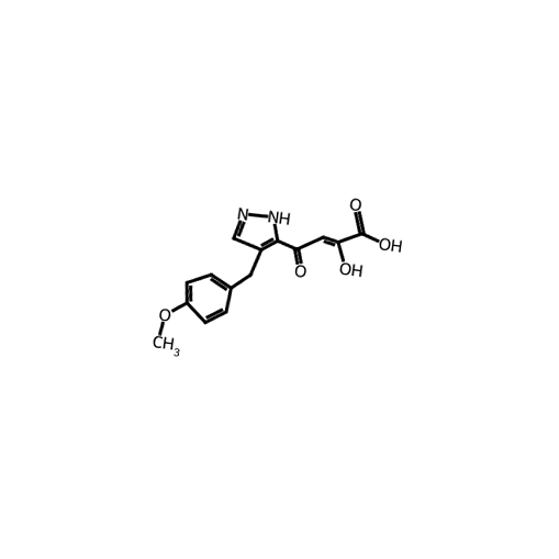 COc1ccc(Cc2cn[nH]c2C(=O)C=C(O)C(=O)O)cc1